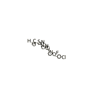 CC(=O)c1cc2c(nc(CN3CC=C(c4cccc(OCc5ccc(Cl)cc5F)n4)CC3)n2C)s1